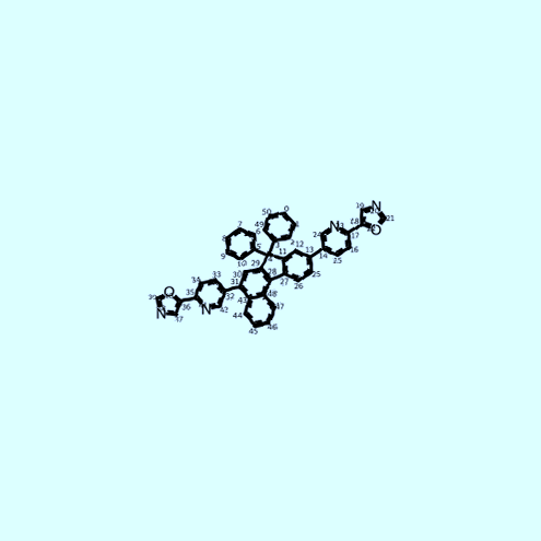 c1ccc(C2(c3ccccc3)c3cc(-c4ccc(-c5cnco5)nc4)ccc3-c3c2cc(-c2ccc(-c4cnco4)nc2)c2ccccc32)cc1